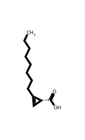 CCCCCCCCC1=C[C@H]1C(=O)O